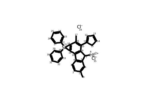 Cc1ccc2c(c1)[CH]([Hf+2])c1c(C3=CC=CC3)c(C)c3c(c1-2)[Si]3(c1ccccc1)c1ccccc1.[Cl-].[Cl-]